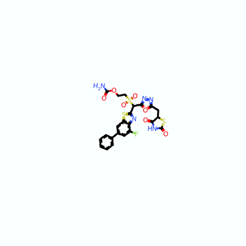 NC(=O)OCCS(=O)(=O)C(c1nnc(CC2SC(=O)NC2=O)o1)c1nc2c(F)cc(-c3ccccc3)cc2s1